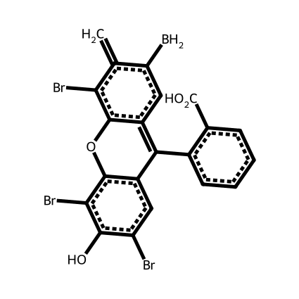 Bc1cc2c(c(Br)c1=C)Oc1c(cc(Br)c(O)c1Br)C=2c1ccccc1C(=O)O